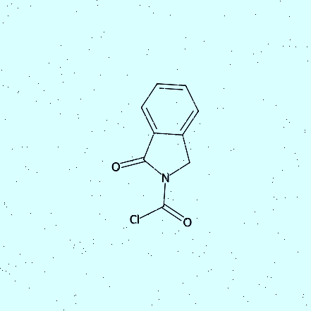 O=C(Cl)N1Cc2ccccc2C1=O